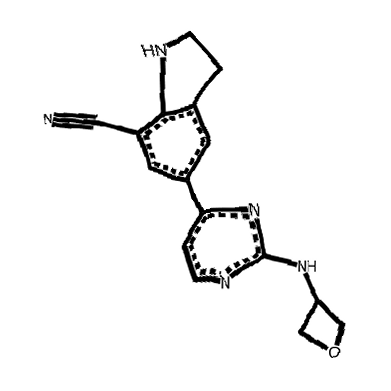 N#Cc1cc(-c2ccnc(NC3COC3)n2)cc2c1NCC2